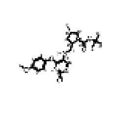 COc1ccc(Oc2nc(Cl)ncc2NCC2C[C@@H](C)CN2C(=O)OC(C)(C)C)cc1